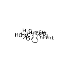 CCCCCC(C)(C)c1cccc(OC(=O)O)c1C(C)(C)CCCCC